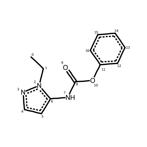 CCn1nccc1NC(=O)Oc1ccccc1